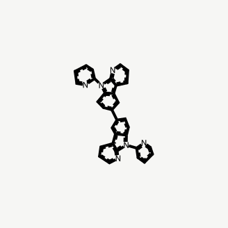 c1ccc(-n2c3ccc(-c4ccc5c(c4)c4cccnc4n5-c4ccccn4)cc3c3cccnc32)nc1